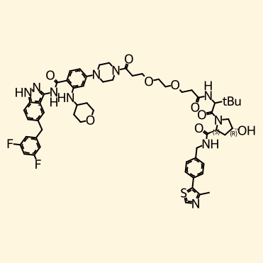 Cc1ncsc1-c1ccc(CNC(=O)[C@@H]2C[C@@H](O)CN2C(=O)C(NC(=O)CCOCCOCCC(=O)N2CCN(c3ccc(C(=O)Nc4n[nH]c5ccc(Cc6cc(F)cc(F)c6)cc45)c(NC4CCOCC4)c3)CC2)C(C)(C)C)cc1